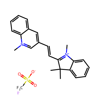 C[N+]1=C(/C=C/c2cc3ccccc3[n+](C)c2)C(C)(C)c2ccccc21.O=S(=O)([O-])C(F)(F)F.[I-]